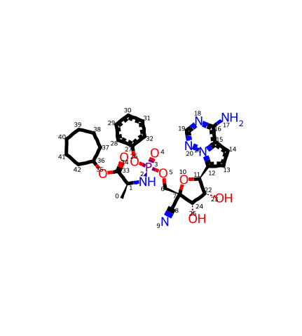 C[C@H](N[P@@](=O)(OC[C@@]1(C#N)O[C@@H](c2ccc3c(N)ncnn23)[C@H](O)[C@@H]1O)Oc1ccccc1)C(=O)OC1CCCCCC1